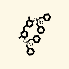 Cc1cc(Cc2ccc(OP(=O)(Cc3ccccc3)Cc3ccccc3)c(C)c2)ccc1OP(=O)(Cc1ccccc1)Cc1ccccc1